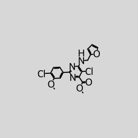 COC(=O)c1nc(-c2ccc(Cl)c(OC)c2)nc(NCc2ccco2)c1Cl